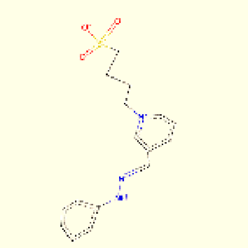 O=S(=O)([O-])CCCC[n+]1cccc(/C=N/Nc2ccccc2)c1